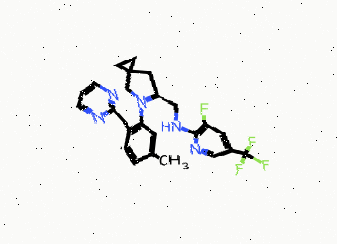 Cc1c[c]c(-c2ncccn2)c(N2CC3(CC3)C[C@H]2CNc2ncc(C(F)(F)F)cc2F)c1